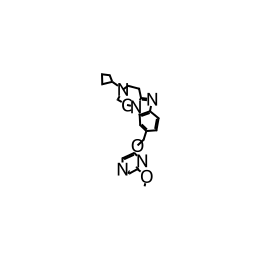 COc1cncc(OCc2ccc3nc4n(c3c2)CCN(C2CCC2)CC4)n1